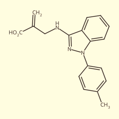 C=C(CNc1nn(-c2ccc(C)cc2)c2ccccc12)C(=O)O